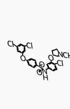 CN1CCC(Oc2cc(NS(=O)(=O)c3ccc(Oc4cc(Cl)cc(Cl)c4)cc3)ccc2Cl)C1